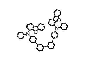 c1cc2c(oc3ccccc32)c(N(c2ccccc2)c2ccc(-c3cccc(-c4cccc(-c5ccc(N(c6ccccc6)c6cccc7c6oc6ccccc67)cc5)c4)c3)cc2)c#1